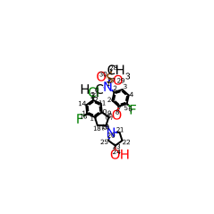 CN(c1ccc(F)c(O[C@H]2c3cc(Cl)cc(F)c3C[C@@H]2N2CCC(O)C2)c1)S(C)(=O)=O